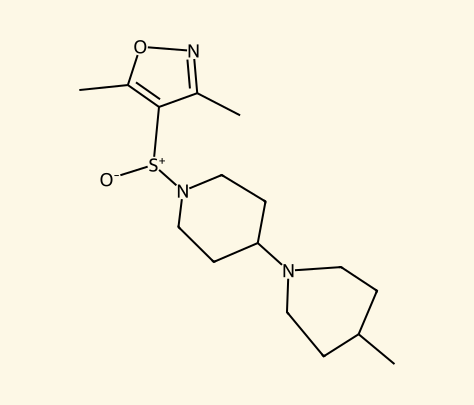 Cc1noc(C)c1[S+]([O-])N1CCC(N2CCC(C)CC2)CC1